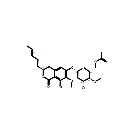 C/C=C/CC[C@H]1Cc2cc(O[C@H]3C[C@@H](O)[C@H](OC)[C@@H](COC(C)=O)O3)c(OC)c(O)c2C(=O)O1